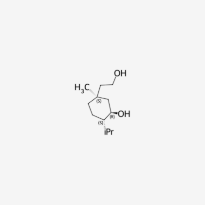 CC(C)[C@@H]1CC[C@@](C)(CCO)C[C@H]1O